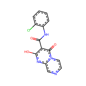 O=C(Nc1ccc[c]c1Cl)c1c(O)nc2cnccn2c1=O